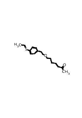 CCSc1ccc(CCOCCCCCC(C)=O)cc1